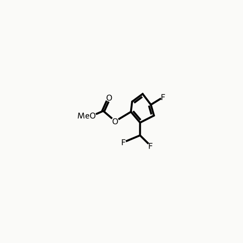 COC(=O)Oc1ccc(F)cc1C(F)F